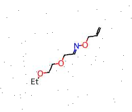 C=CCON=CCOCCOCC